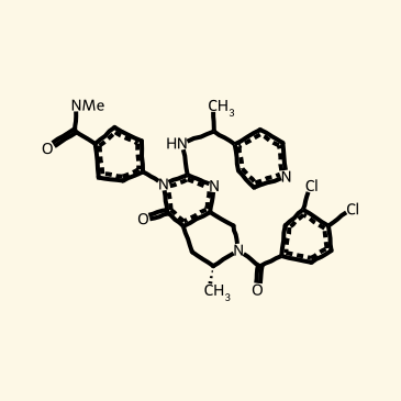 CNC(=O)c1ccc(-n2c(NC(C)c3ccncc3)nc3c(c2=O)C[C@@H](C)N(C(=O)c2ccc(Cl)c(Cl)c2)C3)cc1